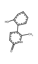 Cc1[nH]c(=O)ccc1-c1ccccc1O